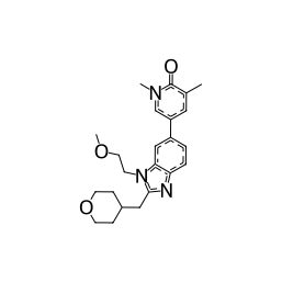 COCCn1c(CC2CCOCC2)nc2ccc(-c3cc(C)c(=O)n(C)c3)cc21